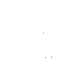 C#CC1CCCC(=O)O1